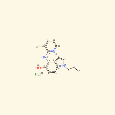 CCCn1ccc2c(Nc3ncccc3F)c(O)ccc21.Cl